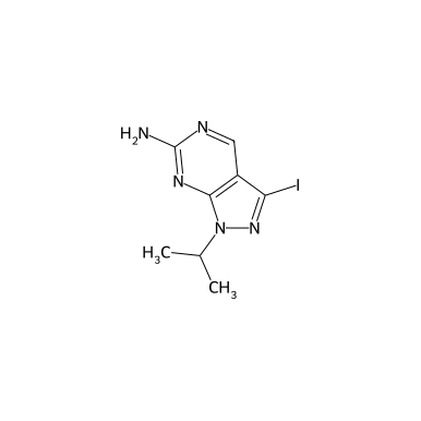 CC(C)n1nc(I)c2cnc(N)nc21